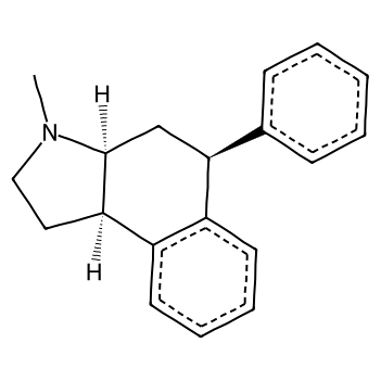 CN1CC[C@@H]2c3ccccc3[C@H](c3ccccc3)C[C@@H]21